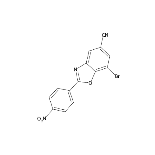 N#Cc1cc(Br)c2oc(-c3ccc([N+](=O)[O-])cc3)nc2c1